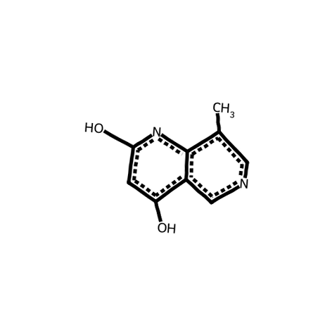 Cc1cncc2c(O)cc(O)nc12